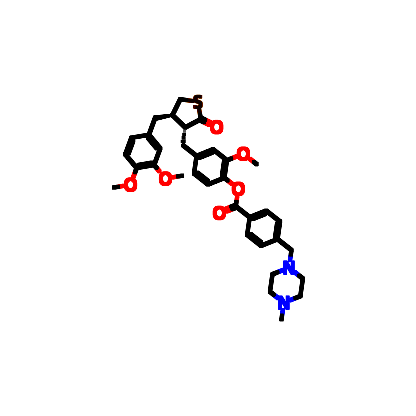 COc1ccc(C[C@H]2CSC(=O)[C@@H]2Cc2ccc(OC(=O)c3ccc(CN4CCN(C)CC4)cc3)c(OC)c2)cc1OC